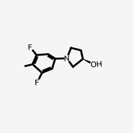 Cc1c(F)cc(N2CC[C@@H](O)C2)cc1F